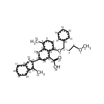 COCC[C@H](Oc1ccc(C)c2nc(-c3sc4ccccc4c3C)cc(C(=O)O)c12)c1ccccc1